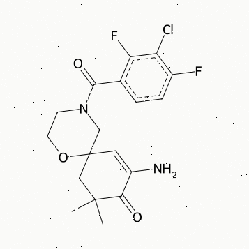 CC1(C)CC2(C=C(N)C1=O)CN(C(=O)c1ccc(F)c(Cl)c1F)CCO2